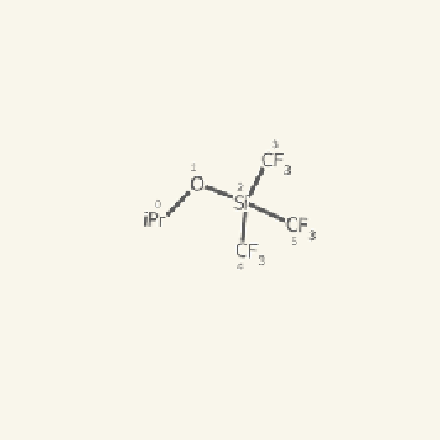 CC(C)O[Si](C(F)(F)F)(C(F)(F)F)C(F)(F)F